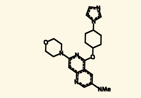 CNc1cnc2cc(N3CCOCC3)nc(OC3CCC(n4ccnc4)CC3)c2c1